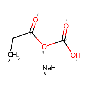 CCC(=O)OC(=O)O.[NaH]